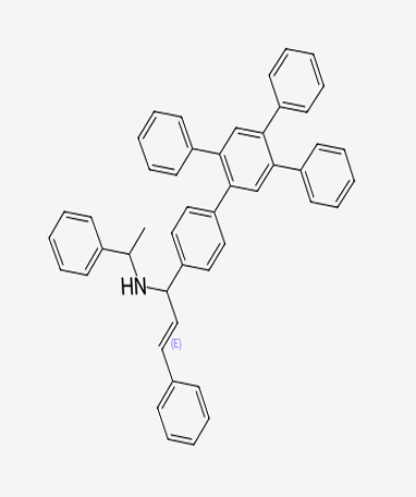 CC(NC(/C=C/c1ccccc1)c1ccc(-c2cc(-c3ccccc3)c(-c3ccccc3)cc2-c2ccccc2)cc1)c1ccccc1